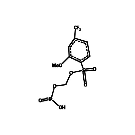 COc1cc(C(F)(F)F)ccc1S(=O)(=O)OCO[PH](=O)O